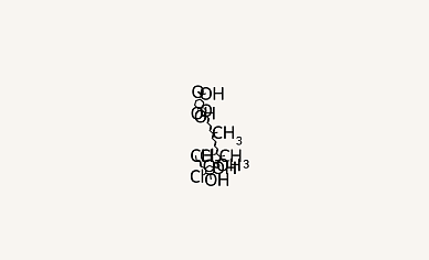 CC/C=C/C1O[C@](O)(C[C@H](O)[C@H](C)/C(Cl)=C/C=C/C=C(C)/C=C/C=C/C(=O)O[C@@H]2C[C@@H](C(=O)O)CC[C@@H]2O)CC(O)C1Cl